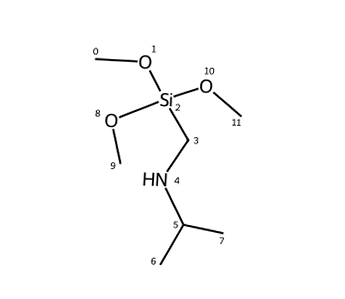 CO[Si](CNC(C)C)(OC)OC